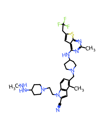 CNNC1CCN(CCn2c(C#N)cc3c(C)c(CN4CCC(Nc5nc(C)nc6sc(CC(F)(F)F)cc56)CC4)ccc32)CC1